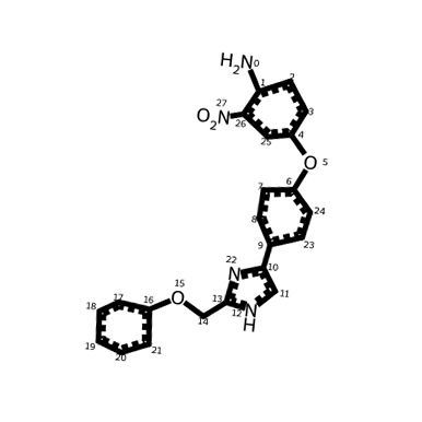 Nc1ccc(Oc2ccc(-c3c[nH]c(COc4ccccc4)n3)cc2)cc1[N+](=O)[O-]